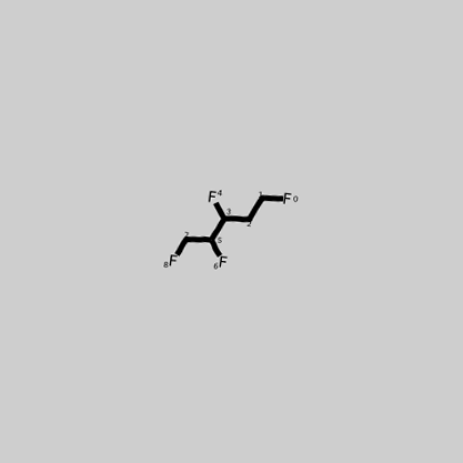 F[CH]CC(F)C(F)CF